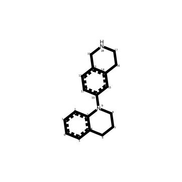 c1ccc2c(c1)CCCN2c1ccc2c(c1)CCNC2